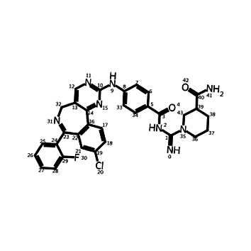 N=C(NC(=O)c1ccc(Nc2ncc3c(n2)-c2ccc(Cl)cc2C(c2ccccc2F)=NC3)cc1)N1CCCC(C(N)=O)C1